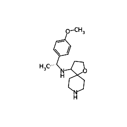 COc1ccc([C@@H](C)NC2CCOC23CCNCC3)cc1